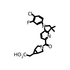 CC1(C)CN(c2ccc(Cl)c(F)c2)c2ccc(C(=O)N3CC4C(CC(=O)O)C4C3)nc21